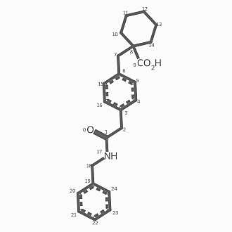 O=C(Cc1ccc(CC2(C(=O)O)CCCCC2)cc1)NCc1ccccc1